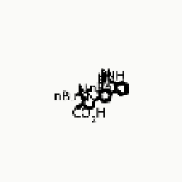 CCCCc1nc(CCCC)n2c1C(=CC(=O)O)CCC2c1ccc(-c2ccccc2-c2nnn[nH]2)cc1